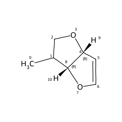 CC1CO[C@@H]2C=CO[C@H]12